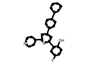 Oc1ccc(F)cc1-c1cc(-c2ccc(-c3ccccc3)cc2)cc(-c2ccncc2)n1